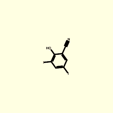 N#Cc1cc(I)cc(I)c1O